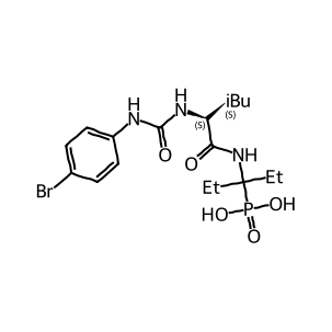 CC[C@H](C)[C@H](NC(=O)Nc1ccc(Br)cc1)C(=O)NC(CC)(CC)P(=O)(O)O